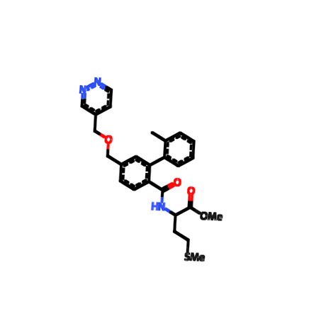 COC(=O)C(CCSC)NC(=O)c1ccc(COCc2ccnnc2)cc1-c1ccccc1C